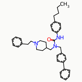 CCCCc1ccc(NC(=O)N(Cc2ccc(-c3ccccc3)cc2)CC2CCN(CCc3ccccc3)CC2)cc1